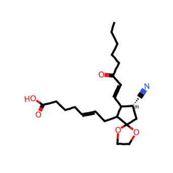 CCCCCC(=O)C=CC1C(CC=CCCCC(=O)O)C2(C[C@H]1C#N)OCCO2